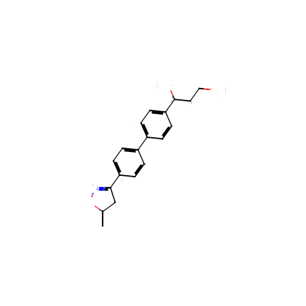 CC1CC(c2ccc(-c3ccc(C(O)CCO)cc3)cc2)=NO1